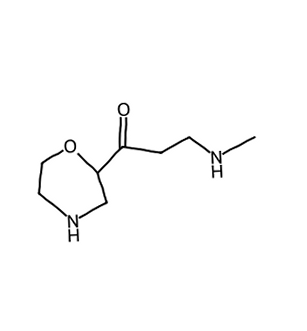 CNCCC(=O)C1CNCCO1